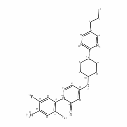 CCCc1cnc(N2CCC(Oc3ccn(-c4cc(F)c(N)cc4F)c(=O)c3)CC2)nc1